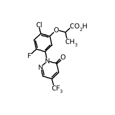 CC(Oc1cc(-n2ncc(C(F)(F)F)cc2=O)c(F)cc1Cl)C(=O)O